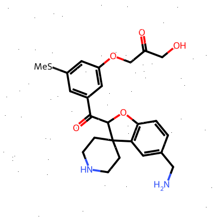 CSc1cc(OCC(=O)CO)cc(C(=O)C2Oc3ccc(CN)cc3C23CCNCC3)c1